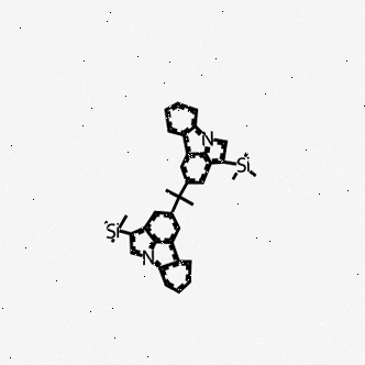 CC(C)(c1cc2c([Si](C)(C)C)cn3c4ccccc4c(c1)c23)c1cc2c([Si](C)(C)C)cn3c4ccccc4c(c1)c23